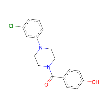 O=C(c1ccc(O)cc1)N1CCN(c2cccc(Cl)c2)CC1